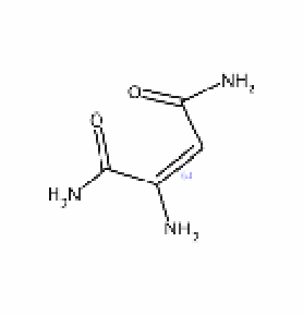 NC(=O)/C=C(/N)C(N)=O